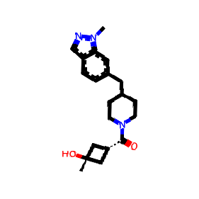 Cn1ncc2ccc(CC3CCN(C(=O)[C@H]4C[C@@](C)(O)C4)CC3)cc21